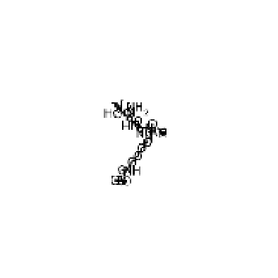 CCCN(CCC)C(O)C1=Cc2ccc(C(=O)Nc3cncc(CNC(=O)[C@H](Cc4ccccc4)NC(=O)CCOCCOCCOCCOCCNC(=O)CCN4C(=O)C=CC4=O)c3)cc2N=C(N)C1